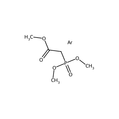 COC(=O)CP(=O)(OC)OC.[Ar]